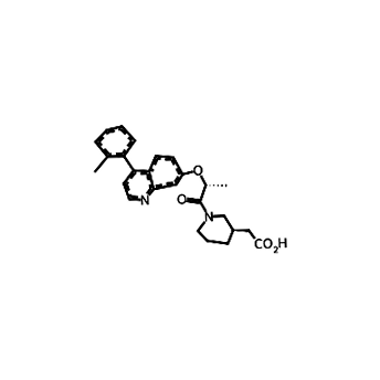 Cc1ccccc1-c1ccnc2cc(O[C@H](C)C(=O)N3CCC[C@H](CC(=O)O)C3)ccc12